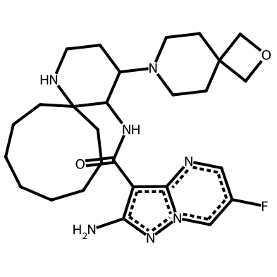 Nc1nn2cc(F)cnc2c1C(=O)NC1C(N2CCC3(CC2)COC3)CCNC12CCCCCCCC2